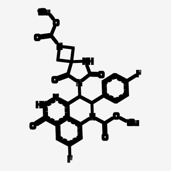 CC(C)(C)OC(=O)N1CC2(C1)NC(=O)N(C1c3n[nH]c(=O)c4cc(F)cc(c34)N(C(=O)OC(C)(C)C)C1c1ccc(F)cc1)C2=O